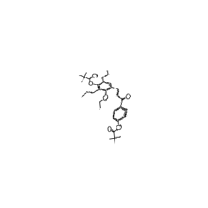 CCCc1cc(/C=C/C(=O)c2ccc(OC(=O)C(C)(C)C)cc2)c(OCC)c(CCC)c1OC(=O)C(C)(C)C